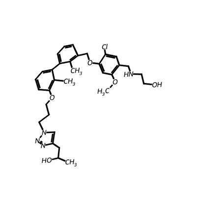 COc1cc(OCc2cccc(-c3cccc(OCCCn4cc(CC(C)O)nn4)c3C)c2C)c(Cl)cc1CNCCO